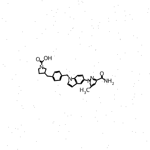 Cc1cc(C(N)=O)nn1-c1ccc2c(ccn2Cc2ccc(CC3CCN(C(=O)O)C3)cc2)c1